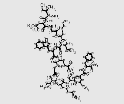 CCC(C)C(N)C(=O)NC(CC(C)C)C(=O)NCC(=O)NC(CCCCN)C(=O)NC(C(=O)NC(Cc1c[nH]c2ccccc12)C(=O)NC(CCC(=O)O)C(=O)NCC(=O)NC(C(=O)NC(CCCCN)C(=O)NC(CO)C(=O)NC(CC(C)C)C(=O)NC(Cc1ccccc1)C(=O)O)C(C)CC)C(C)CC